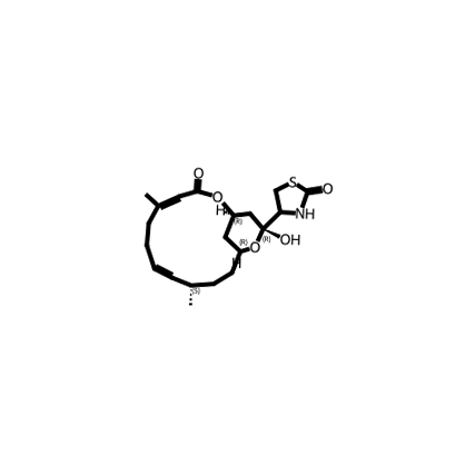 CC1=CC(=O)O[C@@H]2C[C@@H](CC[C@H](C)C=CCC1)O[C@@](O)(C1CSC(=O)N1)C2